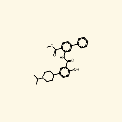 COC(=O)c1ccc(-c2ccccc2)cc1NC(=O)c1cc(C2CCN(C(C)C)CC2)ccc1O